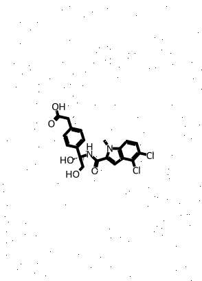 Cn1c(C(=O)N[C@@](O)(CO)c2ccc(CC(=O)O)cc2)cc2c(Cl)c(Cl)ccc21